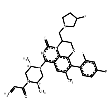 C=CC(=O)N1C[C@H](C)N(c2nc(=O)n3c4c(c(-c5ccc(F)cc5F)c(C(F)(F)F)cc24)SCC3CN2CCC(F)C2)C[C@H]1C